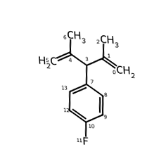 C=C(C)C(C(=C)C)c1ccc(F)cc1